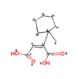 CC1(C(=CC(=O)O)C(=O)O)CCCCC1